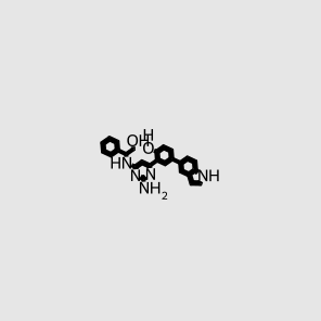 Nc1nc(NC(CO)c2ccccc2)cc(-c2cc(-c3ccc4[nH]ccc4c3)ccc2O)n1